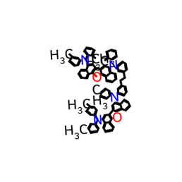 Cc1ccc(N(c2cccc(C)c2)c2cc3c4cc(N(c5ccc(C)cc5)c5cccc(CCc6cccc(N(c7ccccc7C)c7cc8c9cc(N(c%10cccc(C)c%10)c%10ccccc%10C)c%10ccccc%10c9oc8c8ccccc78)c6)c5)c5ccccc5c4oc3c3ccccc23)cc1